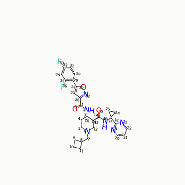 O=C(N[C@H]1CCN(CC2CCC2)C[C@@H]1C(=O)NC1(c2ncccn2)CC1)c1cc(-c2ccc(F)cc2F)on1